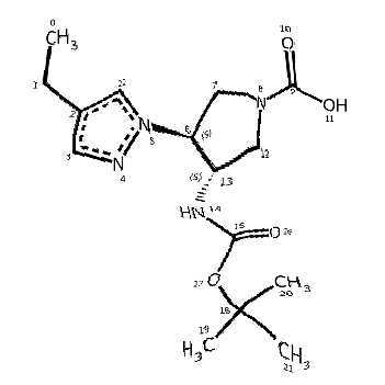 CCc1cnn([C@H]2CN(C(=O)O)C[C@@H]2NC(=O)OC(C)(C)C)c1